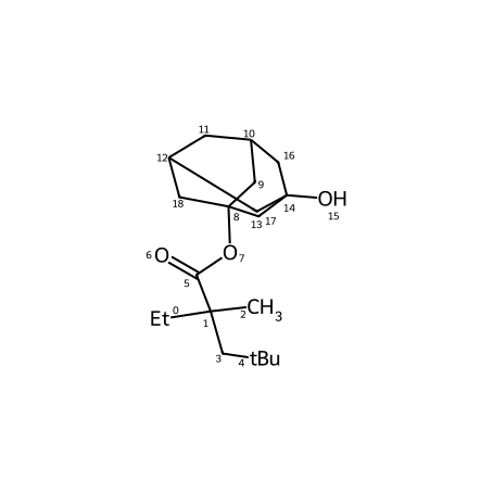 CCC(C)(CC(C)(C)C)C(=O)OC12CC3CC(CC(O)(C3)C1)C2